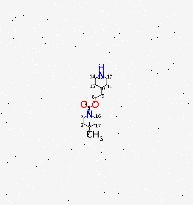 CC1CCN(C(=O)OCCC2CCNCC2)CC1